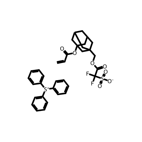 C=CC(=O)OC12CC3CC(CC(COC(=O)C(F)(F)S(=O)(=O)[O-])(C3)C1)C2.c1ccc([S+](c2ccccc2)c2ccccc2)cc1